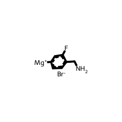 NCc1cc[c]([Mg+])cc1F.[Br-]